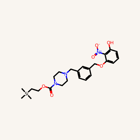 C[Si](C)(C)CCOC(=O)N1CCN(Cc2cccc(COc3cccc(O)c3[N+](=O)[O-])c2)CC1